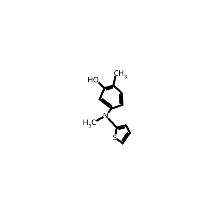 Cc1ccc(N(C)c2cccs2)cc1O